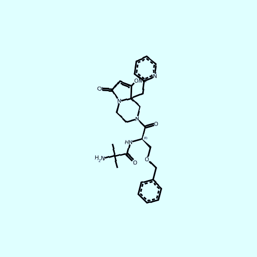 COC1=CC(=O)N2CCN(C(=O)[C@@H](COCc3ccccc3)NC(=O)C(C)(C)N)CC12Cc1ccccn1